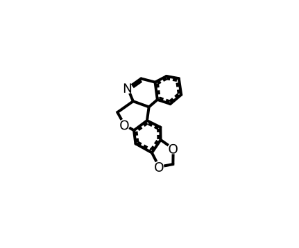 C1=NC2COc3cc4c(cc3C2c2ccccc21)OCO4